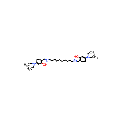 CCN(CC)c1ccc(C=NCCCCCCCCCCN=Cc2ccc(N(CC)CC)cc2O)c(O)c1